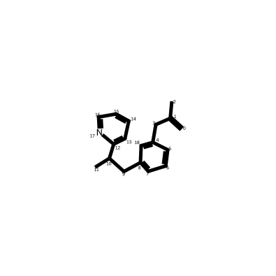 C=C(C)Cc1cccc(CC(C)c2ccccn2)c1